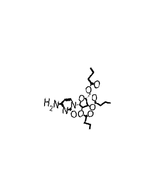 CCCC(=O)OC[C@H]1O[C@@H](n2ccc(N)nc2=O)[C@H](OC(=O)CCC)[C@@H]1OC(=O)CCC